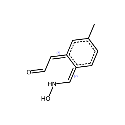 Cc1ccc(=C/NO)/c(=C\C=O)c1